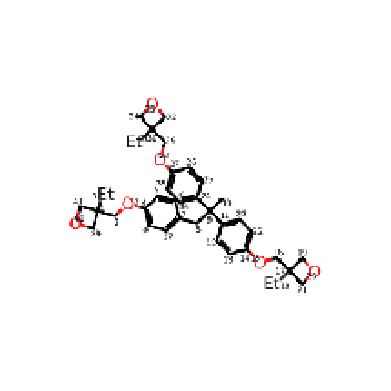 CCC1(COc2ccc(CC(C)(c3ccc(OCC4(CC)COC4)cc3)c3ccc(OCC4(CC)COC4)cc3)cc2)COC1